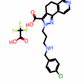 O=C(O)C(F)(F)F.O=C(O)c1c2c(nn1CCCNCc1ccc(Cl)cc1)-c1ccncc1CC2